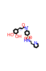 CN(C(=O)/C=C/c1ccc(O)c(O)c1)c1ccc(S(=O)(=O)NCCc2ccccn2)cc1